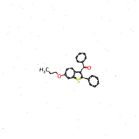 CCCOc1ccc2c(C(=O)c3ccccc3)c(-c3ccccc3)sc2c1